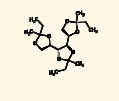 CCC1(C)O[C@H]([C@H]2COC(C)(CC)O2)[C@@H]([C@H]2COC(C)(CC)O2)O1